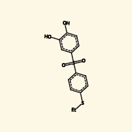 CCSc1ccc(S(=O)(=O)c2ccc(O)c(O)c2)cc1